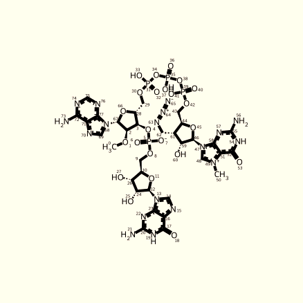 CO[C@@H]1[C@H](OP(=O)([O-])OC[C@H]2O[C@@H](n3cnc4c(=O)[nH]c(N)nc43)[C@H](O)[C@@H]2O)[C@@H](COP(=O)(O)OP(=O)(O)OP(=O)(O)OC[C@H]2O[C@@H](n3c[n+](C)c4c(=O)[nH]c(N)nc43)[C@H](O)[C@@H]2CN=[N+]=[N-])O[C@H]1n1cnc2c(N)ncnc21